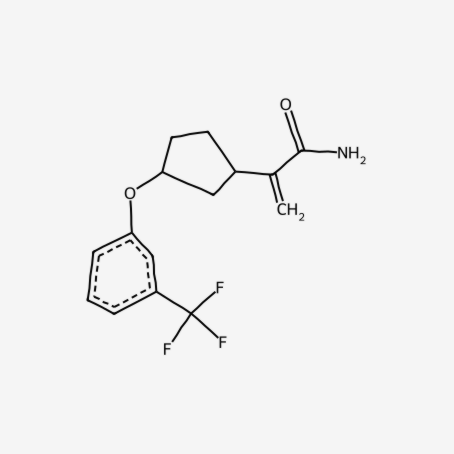 C=C(C(N)=O)C1CCC(Oc2cccc(C(F)(F)F)c2)C1